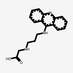 O=C(O)CNCCCNc1c2ccccc2nc2ccccc12